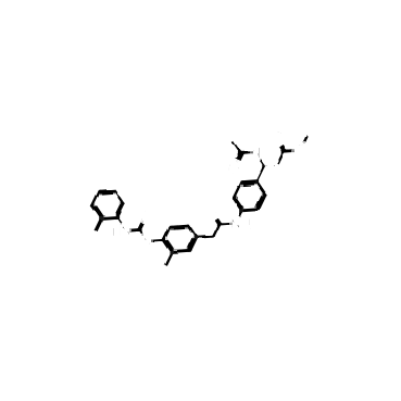 COC(=O)C[C@@H](NC(C)=O)c1ccc(NC(=O)Cc2ccc(NC(=O)Nc3ccccc3C)c(C)c2)cc1